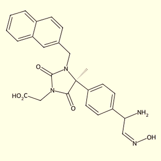 C[C@]1(c2ccc(C(N)/C=N\O)cc2)C(=O)N(CC(=O)O)C(=O)N1Cc1ccc2ccccc2c1